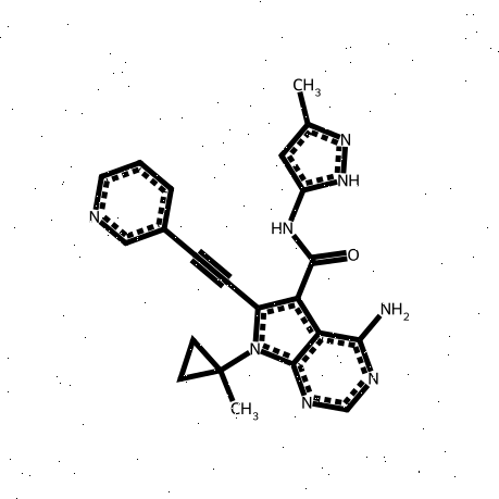 Cc1cc(NC(=O)c2c(C#Cc3cccnc3)n(C3(C)CC3)c3ncnc(N)c23)[nH]n1